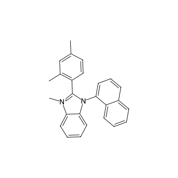 Cc1ccc(-c2n(-c3cccc4ccccc34)c3ccccc3[n+]2C)c(C)c1